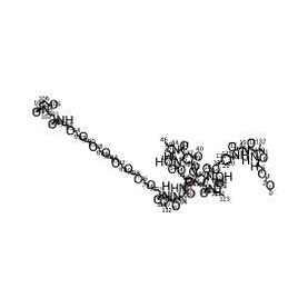 COCCOCCC(=O)N[C@@H](C(=O)N[C@H](C)C(=O)Nc1ccc(COC(=O)N2c3cc(OOc4cc5c(cc4OC)C(=O)N4C=C(C)C[C@H]4[C@H](O)N5C(=O)OCC4=CC[C@H]4NC(=O)[C@@H](C)NC(=O)[C@H](NC(=O)CCOCCOCCOCCOCCOCCOCCOCCOCCNC(=O)CCN4C(=O)C=CC4=O)C(C)C)c(OC)cc3C(=O)N3C=C(C)C[C@H]3[C@@H]2O)cc1)C(C)C